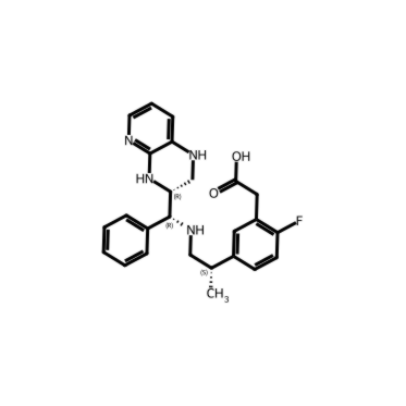 C[C@H](CN[C@H](c1ccccc1)[C@H]1CNc2cccnc2N1)c1ccc(F)c(CC(=O)O)c1